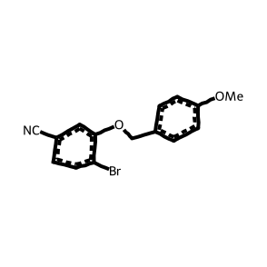 COc1ccc(COc2cc(C#N)ccc2Br)cc1